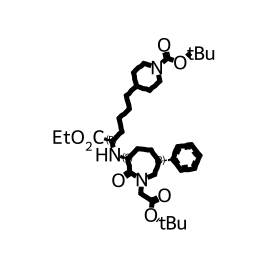 CCOC(=O)[C@@H](CCCCC1CCN(C(=O)OC(C)(C)C)CC1)N[C@H]1CC[C@H](c2ccccc2)CN(CC(=O)OC(C)(C)C)C1=O